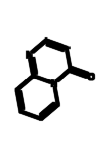 O=c1[c][c]nc2ccccn12